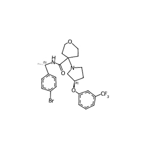 C[C@H](NC(=O)C1(N2CC[C@@H](Oc3cccc(C(F)(F)F)c3)C2)CCOCC1)c1ccc(Br)cc1